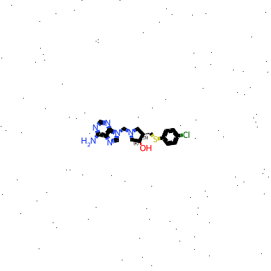 Nc1ncnc2c1ncn2CN1C[C@H](CSc2ccc(Cl)cc2)[C@@H](O)C1